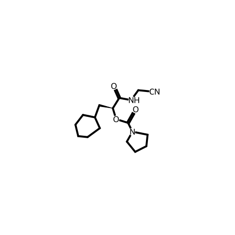 N#CCNC(=O)[C@H](CC1CCCCC1)OC(=O)N1CCCC1